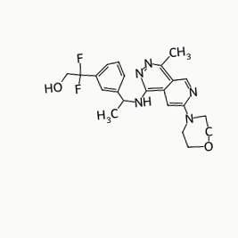 Cc1nnc(NC(C)c2cccc(C(F)(F)CO)c2)c2cc(N3CCOCC3)ncc12